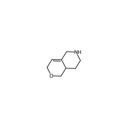 C1=C2CNCCC2COC1